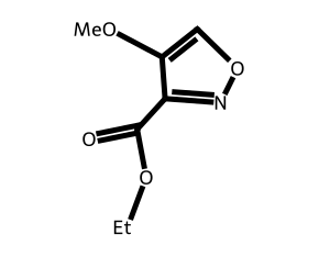 CCOC(=O)c1nocc1OC